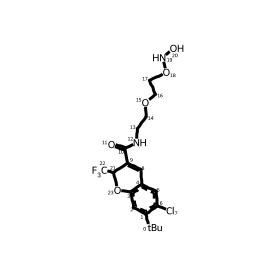 CC(C)(C)c1cc2c(cc1Cl)C=C(C(=O)NCCOCCONO)C(C(F)(F)F)O2